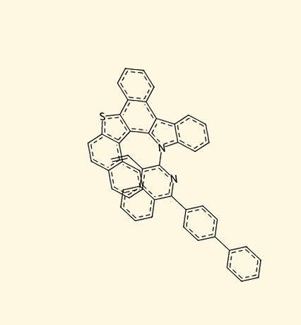 C=Cc1c(-n2c3ccccc3c3c4ccccc4c4sc5ccc6ccccc6c5c4c32)nc(-c2ccc(-c3ccccc3)cc2)c2ccccc12